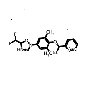 CCC(Oc1c(C)cc(N2CNC(C(F)F)O2)cc1C)c1cccnn1